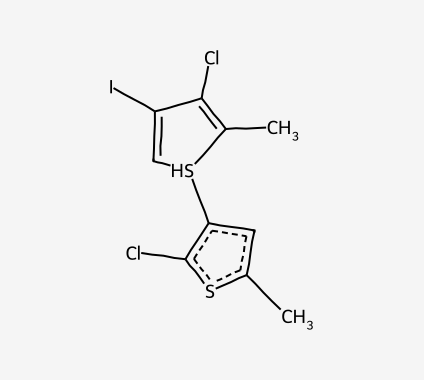 CC1=C(Cl)C(I)=C[SH]1c1cc(C)sc1Cl